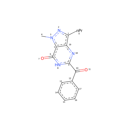 CCCc1nn(C)c2c(=O)[nH]c(C(=O)c3ccccc3)nc12